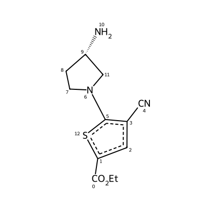 CCOC(=O)c1cc(C#N)c(N2CC[C@H](N)C2)s1